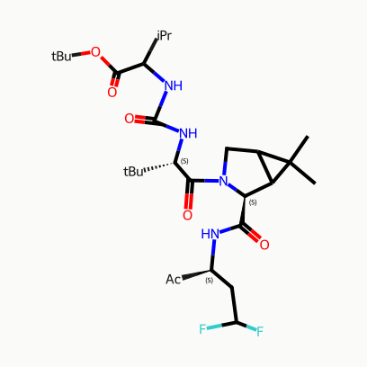 CC(=O)[C@H](CC(F)F)NC(=O)[C@@H]1C2C(CN1C(=O)[C@@H](NC(=O)NC(C(=O)OC(C)(C)C)C(C)C)C(C)(C)C)C2(C)C